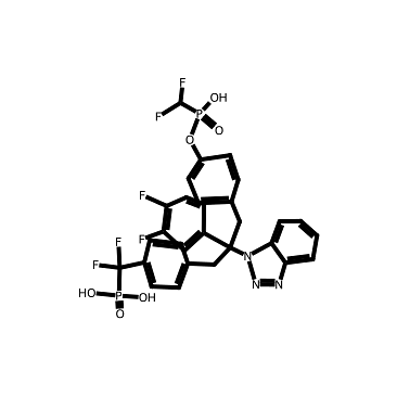 O=P(O)(Oc1ccc(CC(Cc2ccc(C(F)(F)P(=O)(O)O)cc2)(c2ccc(F)c(F)c2)n2nnc3ccccc32)cc1)C(F)F